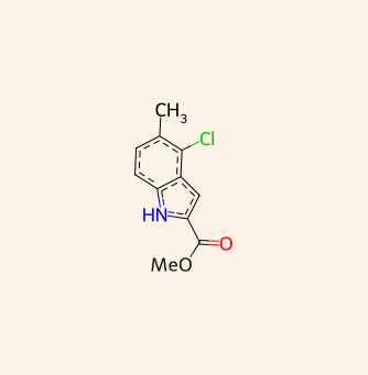 COC(=O)c1cc2c(Cl)c(C)ccc2[nH]1